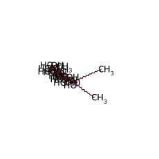 CCCCCCCCCCCCC/C=C/[C@@H](O)[C@H](CO[C@@H]1O[C@H](CO)[C@@H](O[C@@H]2O[C@H](CO)[C@H](O[C@@H]3O[C@H](CO)[C@H](O)[C@H](O[C@@H]4O[C@H](CO)[C@H](O)[C@H](O)[C@H]4O)[C@H]3NC(C)=O)[C@H](O)[C@H]2O)[C@H](O)[C@H]1O)NC(=O)CCCCCCCCCCCCCCCCC